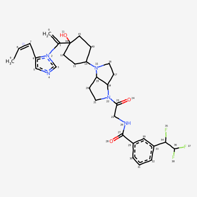 C=C(n1cncc1/C=C\C)C1(O)CCC(N2CCC3C2CCN3C(=O)CNC(=O)c2cccc(C(F)C(F)F)c2)CC1